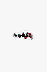 CN=[S@]1(=O)C(OC(=O)C(F)(F)F)[C@@](C)(c2cc(-c3cc(-c4cnc(OCC(F)(F)F)cn4)no3)ccc2F)N=C(N)C1(C)C